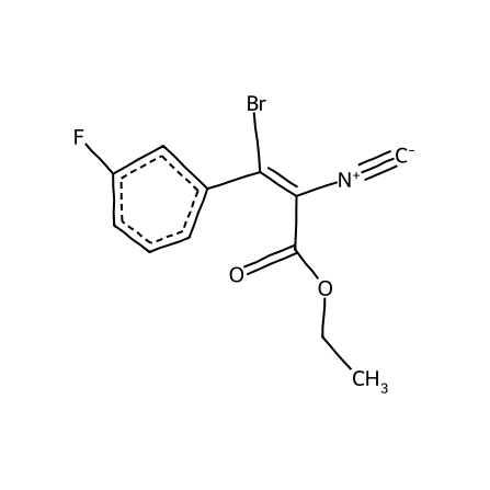 [C-]#[N+]/C(C(=O)OCC)=C(\Br)c1cccc(F)c1